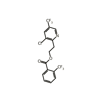 O=C(OCCc1ncc(C(F)(F)F)cc1Cl)c1ccccc1C(F)(F)F